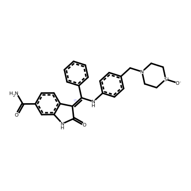 NC(=O)c1ccc2c(c1)NC(=O)/C2=C(\Nc1ccc(CN2CC[S+]([O-])CC2)cc1)c1ccccc1